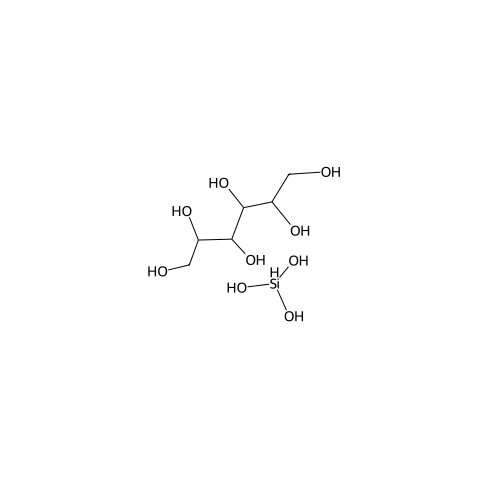 OCC(O)C(O)C(O)C(O)CO.O[SiH](O)O